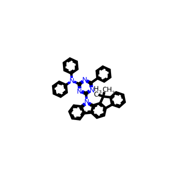 CC1(C)c2ccccc2-c2ccc3c4ccccc4n(-c4nc(-c5ccccc5)nc(N(c5ccccc5)c5ccccc5)n4)c3c21